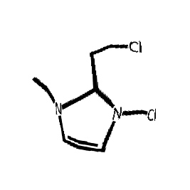 CN1C=CN(Cl)C1CCl